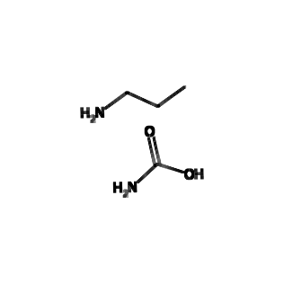 CCCN.NC(=O)O